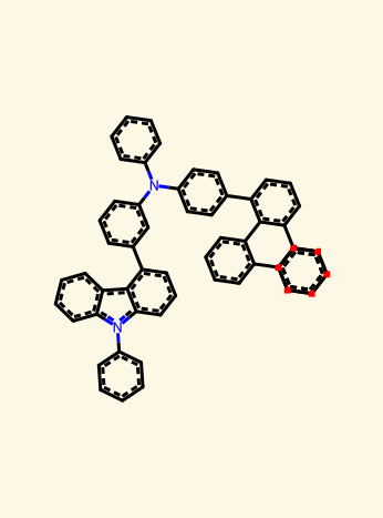 c1ccc(-c2ccccc2-c2c(-c3ccccc3)cccc2-c2ccc(N(c3ccccc3)c3cccc(-c4cccc5c4c4ccccc4n5-c4ccccc4)c3)cc2)cc1